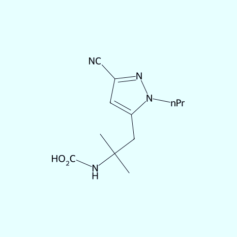 CCCn1nc(C#N)cc1CC(C)(C)NC(=O)O